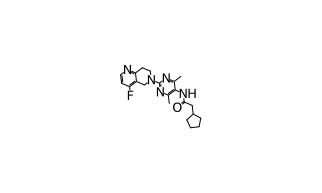 Cc1nc(N2CCc3nccc(F)c3C2)nc(C)c1NC(=O)CC1CCCC1